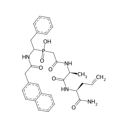 C=CC[C@H](NC(=O)[C@H](C)NC(=O)CP(=O)(O)C(Cc1ccccc1)NC(=O)Cc1ccc2ccccc2c1)C(N)=O